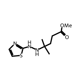 COC(=O)CCC(C)(C)NNc1nccs1